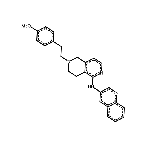 COc1ccc(CCN2CCc3c(ccnc3Nc3cnc4ccccc4c3)C2)cc1